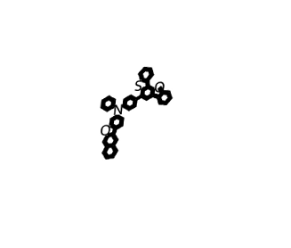 c1ccc(N(c2ccc(-c3cc4c5ccccc5oc4c4c3sc3ccccc34)cc2)c2ccc3c(c2)oc2cc4ccccc4cc23)cc1